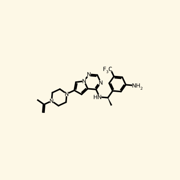 C=C(C)N1CCN(c2cc3c(N[C@H](C)c4cc(N)cc(C(F)(F)F)c4)ncnn3c2)CC1